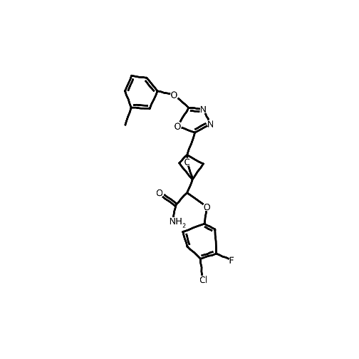 Cc1cccc(Oc2nnc(C34CC(C(Oc5ccc(Cl)c(F)c5)C(N)=O)(C3)C4)o2)c1